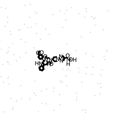 O=C(NO)c1cnc(N2CCC(N3CC(=O)N4[C@H](c5ccc6c(c5)OCO6)c5[nH]c6ccccc6c5C[C@@H]4C3=O)CC2)nc1